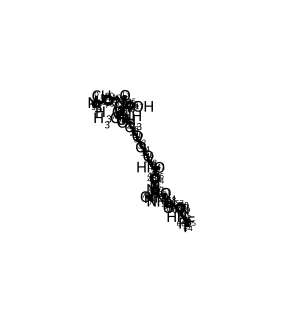 Cc1ncsc1-c1ccc(CNC(=O)[C@@H]2C[C@@H](O)CN2C(=O)[C@@H](NC(=O)COCCOCCOCCOCCNC(=O)c2ccc(-n3cc(NC(=O)c4coc(-c5ccnc(NCC(F)(F)F)c5)n4)c(C(N)=O)n3)cc2)C(C)(C)C)cc1